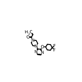 C=CC(=O)N1CCN(c2nccnc2OC2CCC(F)(F)CC2)CC1